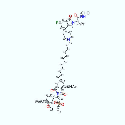 CCCC(C(=O)NC=O)N1Cc2c(cc(F)cc2C2CCN(CCCCCCCCCCCCc3cc(NC(C)=O)c4c(c3)C(=O)N(C(CS(C)(=O)=O)c3ccc(OC)c(OCC)c3)C4=O)CC2)C1=O